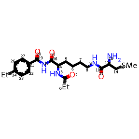 CCC(=O)NC(CCCCNC(=O)C(N)CSC)C(=O)NC(=O)c1ccc(CC)cc1